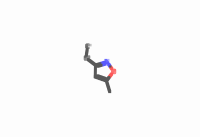 [CH2-][CH+]c1cc(C)on1